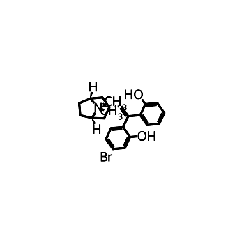 C[N+]1(C)[C@@H]2CC[C@H]1C[C@@H](C=C(c1ccccc1O)c1ccccc1O)C2.[Br-]